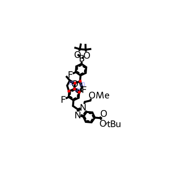 COCCn1c(Cc2cc(F)c(C3=C(/C)CC/C(OCc4ccc(B5OC(C)(C)C(C)(C)O5)cc4F)=C/C=C\3)cc2F)nc2ccc(C(=O)OC(C)(C)C)cc21